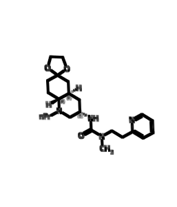 CCCN1C[C@@H](NC(=O)N(C)CCc2ccccn2)C[C@@H]2CC3(CC[C@H]21)OCCO3